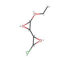 CCOC1OC1C1OC1Cl